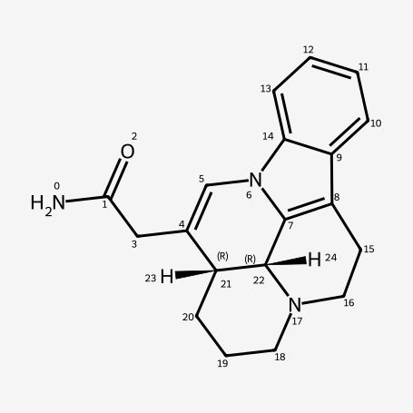 NC(=O)CC1=Cn2c3c(c4ccccc42)CCN2CCC[C@H]1[C@H]32